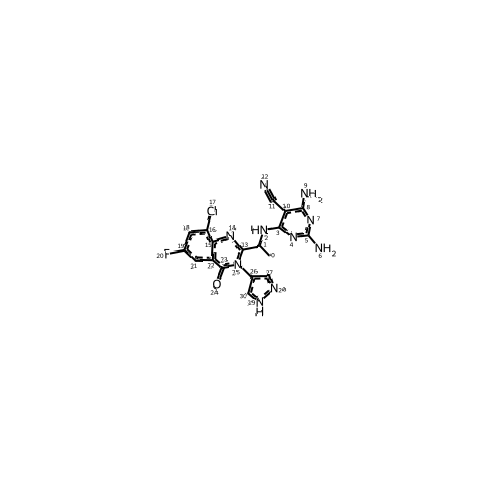 CC(Nc1nc(N)nc(N)c1C#N)c1nc2c(Cl)cc(F)cc2c(=O)n1-c1cn[nH]c1